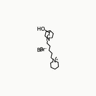 C[N+]1(CCCCC[N+]23CCC(CC2)C(O)C3)CCCCC1.[Br-].[Br-]